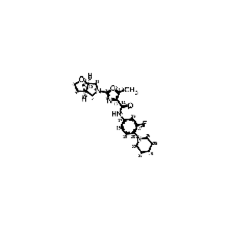 Cc1oc(N2C[C@H]3CCO[C@H]3C2)nc1C(=O)Nc1ccc(N2CCCCC2)c(F)c1